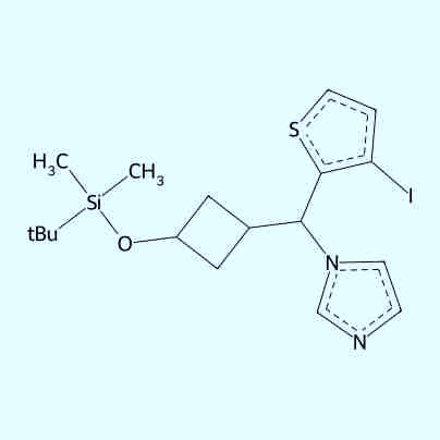 CC(C)(C)[Si](C)(C)OC1CC(C(c2sccc2I)n2ccnc2)C1